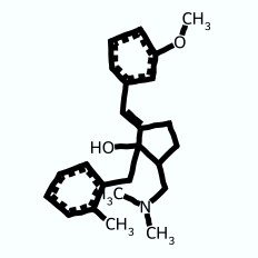 COc1cccc(C=C2CCC(CN(C)C)C2(O)Cc2ccccc2C)c1